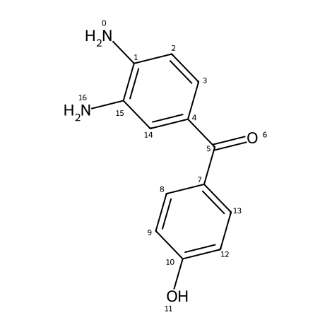 Nc1ccc(C(=O)c2ccc(O)cc2)cc1N